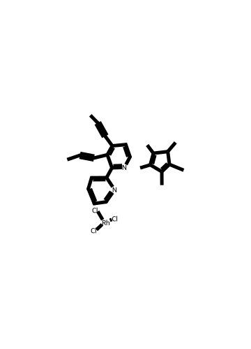 CC#Cc1ccnc(-c2ccccn2)c1C#CC.CC1=C(C)C(C)C(C)=C1C.[Cl][Rh]([Cl])[Cl]